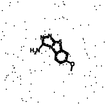 COc1ccc2c(c1)sc1nnc(N)n12